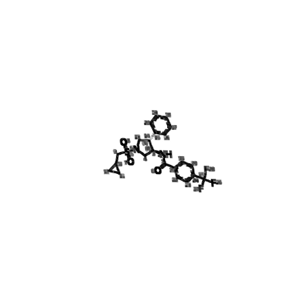 O=C(N[C@H]1CN(S(=O)(=O)CC2CC2)C[C@@H]1c1ccccc1)c1ccc(C(F)(F)F)cc1